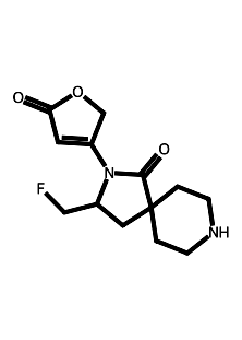 O=C1C=C(N2C(=O)C3(CCNCC3)CC2CF)CO1